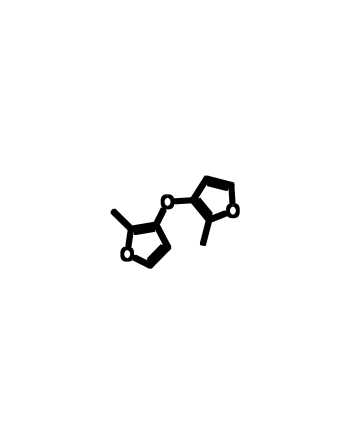 Cc1occc1Oc1ccoc1C